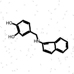 Oc1ccc(CNc2ccc3ccccc3c2)cc1O